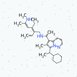 C=C/C(CNC(=C)c1c(C)c(C(C)C2CCCCC2)n2ncccc12)=C(\C=C(\C)NC)CC